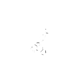 CC(C)(C)OC(=O)N1CCN(c2nc3cn[nH]c(=O)c3n2Cc2ccccc2)CC1